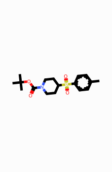 Cc1ccc(S(=O)(=O)C2CCN(C(=O)OC(C)(C)C)CC2)cc1